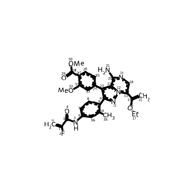 C=C(F)C(=O)Nc1ccc(-c2nn3c(C(=C)OCC)cnc(N)c3c2-c2ccc(C(=O)OC)c(OC)c2)c(C)c1